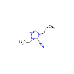 CCCN1C=NN(CC)C1C#N